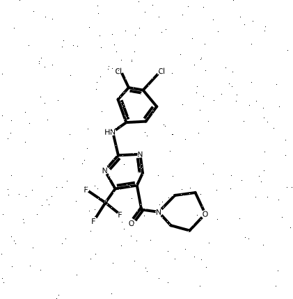 O=C(c1cnc(Nc2ccc(Cl)c(Cl)c2)nc1C(F)(F)F)N1CCOCC1